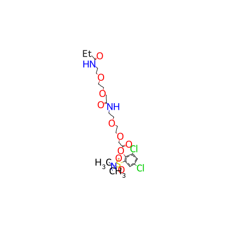 CCC(=O)NCCOCCOCC(=O)NCCOCCOCC(=O)Oc1c(Cl)cc(Cl)cc1S(=O)(=O)N(C)C